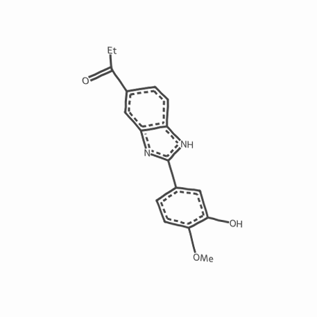 CCC(=O)c1ccc2[nH]c(-c3ccc(OC)c(O)c3)nc2c1